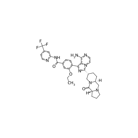 CCOc1cc(C(=O)Nc2cc(C(F)(F)F)ccn2)ccc1-c1nc([C@@H]2CC[C@H]3CN4CCC[C@@H]4C(=O)N3C2)n2ccnc(N)c12